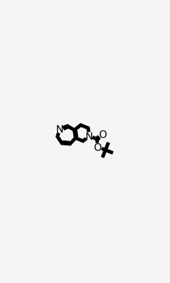 CC(C)(C)OC(=O)N1CCC2=C(C=CCN=C2)C1